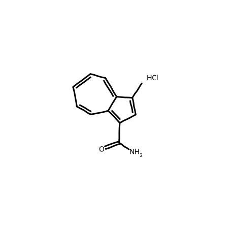 Cc1cc(C(N)=O)c2cccccc1-2.Cl